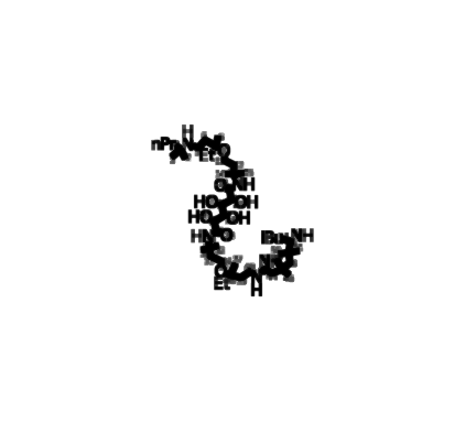 CCCC(C)(C)NCCC(C)(CC)OCCC(C)(C)NC(=O)[C@@H](O)[C@H](O)[C@H](O)[C@@H](O)C(=O)NC(C)(C)CCOC(C)(CC)CCNC(=N)CC(C)(C)CC(C)(C)C(=N)C(C)CC